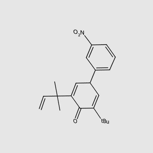 C=CC(C)(C)C1=CC(c2cccc([N+](=O)[O-])c2)C=C(C(C)(C)C)C1=O